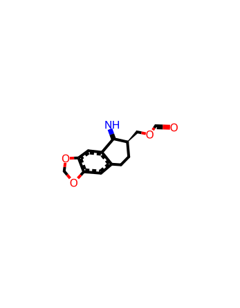 N=C1c2cc3c(cc2CC[C@@H]1COC=O)OCO3